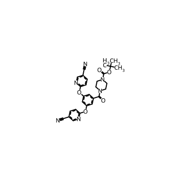 CC(C)(C)OC(=O)N1CCN(C(=O)c2cc(Oc3ccc(C#N)cn3)cc(Oc3ccc(C#N)cn3)c2)CC1